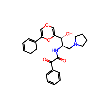 O=C(N[C@H](CN1CCCC1)[C@@H](O)C1=COC=C(C2=CC=CCC2)O1)C(=O)c1ccccc1